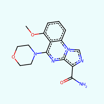 COc1cccc2c1c(N1CCOCC1)nc1c(C(N)=O)ncn12